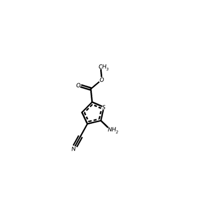 COC(=O)c1cc(C#N)c(N)s1